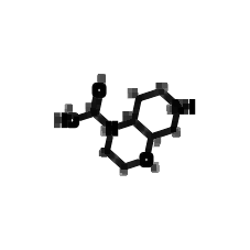 O=C(O)N1CCOC2CNCCC21